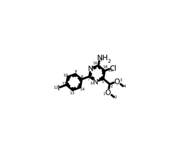 COC(OC)c1nc(-c2ccc(I)cc2)nc(N)c1Cl